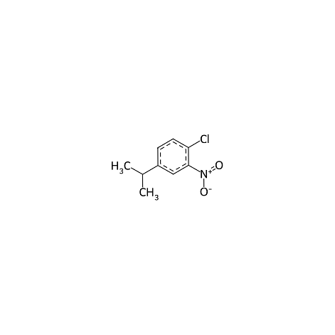 CC(C)c1ccc(Cl)c([N+](=O)[O-])c1